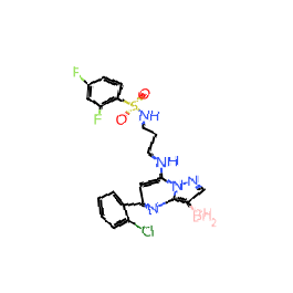 Bc1cnn2c(NCCCNS(=O)(=O)c3ccc(F)cc3F)cc(-c3ccccc3Cl)nc12